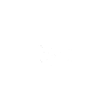 O=C(N1CCCCC1)P(=O)(OCc1ccccc1)ON1CCCCC1